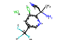 CC(N)(C#N)c1ncc(C(F)(F)F)cc1Cl.Cl